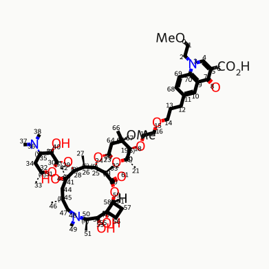 COCCn1cc(C(=O)O)c(=O)c2cc(CCCOCCO[C@H]3[C@H](C)O[C@@H](O[C@H]4[C@H](C)[C@@H](O[C@@H]5O[C@H](C)C[C@H](N(C)C)[C@H]5O)[C@](C)(O)C[C@@H](C)CN(C)[C@H](C)C(O)[C@@]5(O)CC[C@H]5OC(=O)[C@@H]4C)C[C@@]3(C)OC)ccc21